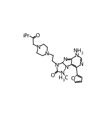 CC(C)C(=O)CN1CCN(CCN2C(=O)N(C)N3C4=C(c5ccco5)N=CN(N)C4=NC23)CC1